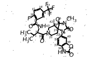 CC(C)C(NC(=O)c1cc(C(F)(F)F)ccc1F)C(=O)N1CCC2(C(=O)N(C)C(=O)N2c2ccc3[nH]c(=O)oc3c2)C(I)C1